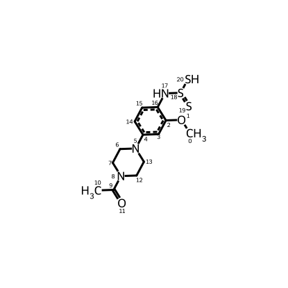 COc1cc(N2CCN(C(C)=O)CC2)ccc1NS(=S)S